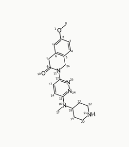 COc1ccc2c(c1)CC(=O)N(c1ccc(N(C)C3CCNCC3)nn1)C2